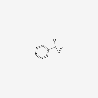 CCC1(c2ccccc2)C=C1